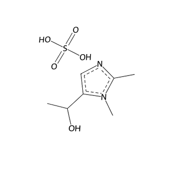 Cc1ncc(C(C)O)n1C.O=S(=O)(O)O